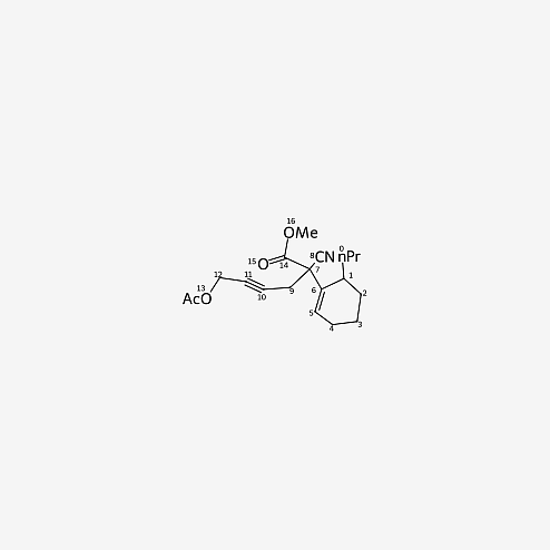 CCCC1CCCC=C1C(C#N)(CC#CCOC(C)=O)C(=O)OC